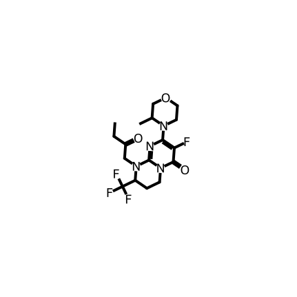 CCC(=O)CN1c2nc(N3CCOCC3C)c(F)c(=O)n2CCC1C(F)(F)F